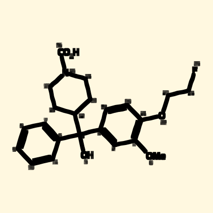 COc1cc(C(O)(c2ccccc2)C2CCN(C(=O)O)CC2)ccc1OCCF